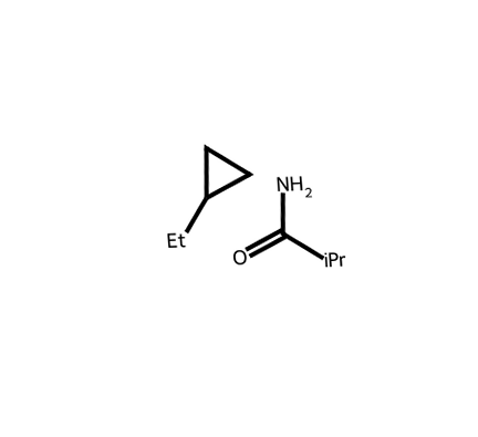 CC(C)C(N)=O.CCC1CC1